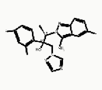 C[C@@H](n1nc2ccc(F)cc2c1N)[C@](O)(Cn1cncn1)c1ccc(F)cc1F